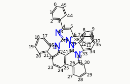 c1ccc(-c2cc(-c3ccccc3)nc(-n3c4ccccc4c4ccc5c6ccccc6n6c7ccccc7nc6c5c43)n2)cc1